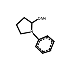 COC1CCCN1c1cc[c]cc1